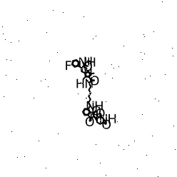 Cc1[nH]c(C=C2C(=O)Nc3ccc(F)cc32)c(C)c1C(=O)NCCCCCCNc1cccc2c1C(=O)N(C1CCC(=O)NC1=O)C2=O